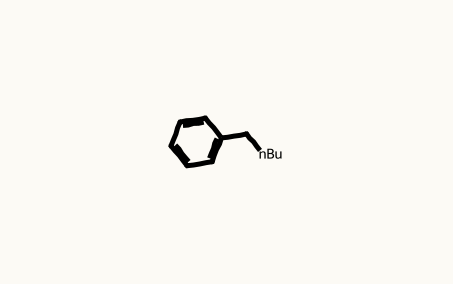 CCCCCc1ccccc1